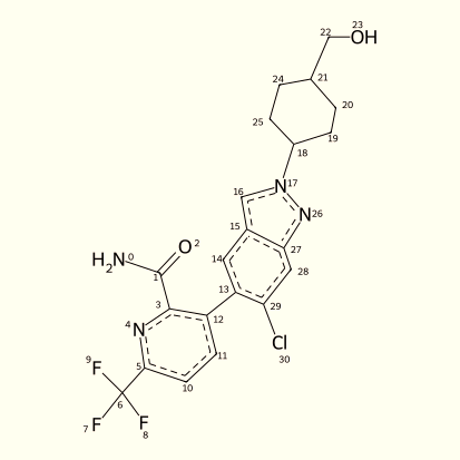 NC(=O)c1nc(C(F)(F)F)ccc1-c1cc2cn(C3CCC(CO)CC3)nc2cc1Cl